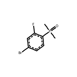 CP(C)(=O)c1ccc(Br)cc1F